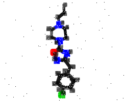 CCCN1CCN(c2nc(Cc3ccc(Cl)cc3)no2)CC1